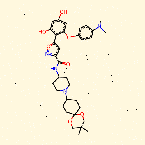 CN(C)c1ccc(Oc2cc(O)cc(O)c2-c2cc(C(=O)NC3CCN(C4CCC5(CC4)OCC(C)(C)CO5)CC3)no2)cc1